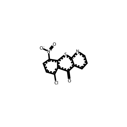 O=c1c2cccnc2sc2c([N+](=O)[O-])ccc(Cl)c12